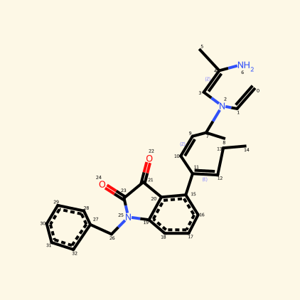 C=CN(/C=C(/C)N)C(C)/C=C\C(=C/CC)c1cccc2c1C(=O)C(=O)N2Cc1ccccc1